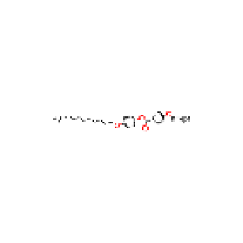 C=CCCCCCCCCOc1ccc(OC(=O)c2ccc(OCCCCCCC)cc2)cc1